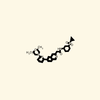 C[C@@H]1CN(c2cccc(-c3ccc4cnc(CC(=O)NC5CCCC(S(=O)(=O)C6CC6)C5)cc4c3)n2)C[C@H](C)O1